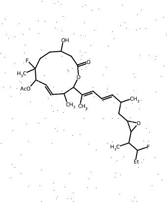 CCC(F)C(C)C1OC1CC(C)/C=C/C=C(\C)C1OC(=O)CC(O)CCC(C)(F)C(OC(C)=O)/C=C/C1C